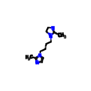 CC1=NCCN1CCCCn1ccnc1C